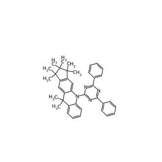 CC1(C)c2ccccc2N(c2nc(-c3ccccc3)nc(-c3ccccc3)n2)c2cc3c(cc21)C(C)(C)C(C)(C)C3(C)C